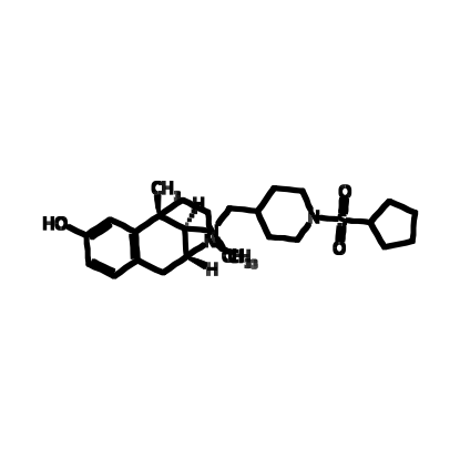 CN1CC[C@@]2(C)c3cc(O)ccc3C[C@@H]1[C@@H]2N(C)CC1CCN(S(=O)(=O)C2CCCC2)CC1